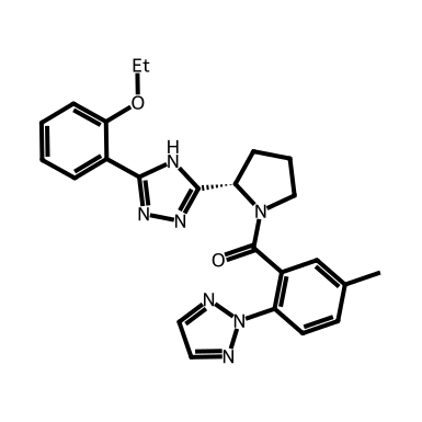 CCOc1ccccc1-c1nnc([C@@H]2CCCN2C(=O)c2cc(C)ccc2-n2nccn2)[nH]1